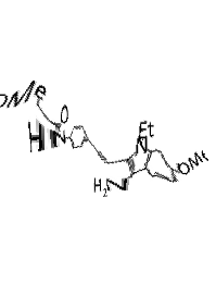 CCn1c(C#Cc2ccc(NC(=O)COC)cc2)c(N)c2ccc(OC)cc21